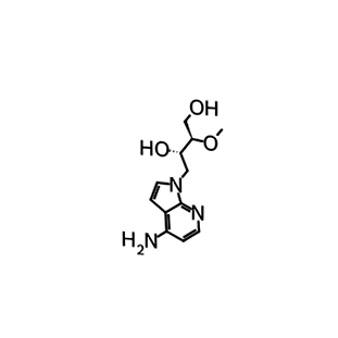 CO[C@H](CO)[C@@H](O)Cn1ccc2c(N)ccnc21